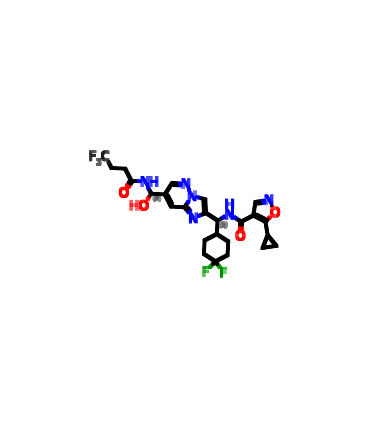 O=C(CCC(F)(F)F)N[C@H](O)c1cnn2cc([C@@H](NC(=O)c3cnoc3C3CC3)C3CCC(F)(F)CC3)nc2c1